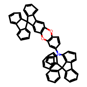 c1ccc(N(c2ccc3c(c2)Oc2cc4c(cc2O3)-c2ccccc2C42c3ccccc3-c3ccccc32)c2cccc3c2C(c2ccccc2)(c2ccccc2)c2ccccc2-3)cc1